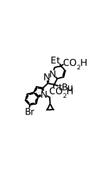 CCC1(C(=O)O)C=CC2N(C1)N=C(c1cc3ccc(Br)cc3n1CC1CC1)C2(C(=O)O)C(C)(C)C